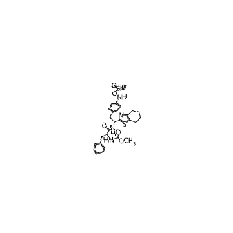 COC(=O)N[C@@H](Cc1ccccc1)C(=O)N[C@@H](Cc1ccc(NO[SH](=O)=O)cc1)c1nc2c(s1)CCCC2